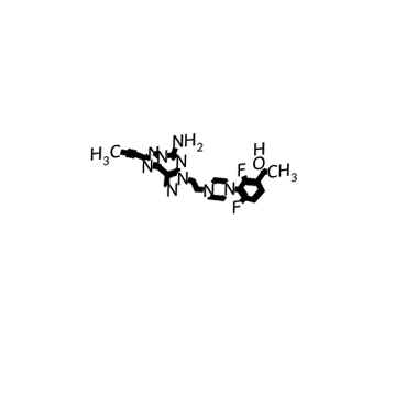 CC#Cc1nc2c3cnn(CCN4CCN(c5c(F)ccc(C(C)O)c5F)CC4)c3nc(N)n2n1